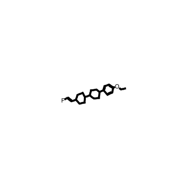 CCOc1ccc(C2CCC(C3CCC(C=CF)CC3)CC2)cc1